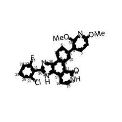 COc1ccc(-c2ccc3c(c2)c2c(=O)[nH]ccc2c2[nH]c(-c4c(F)cccc4Cl)nc32)c(OC)n1